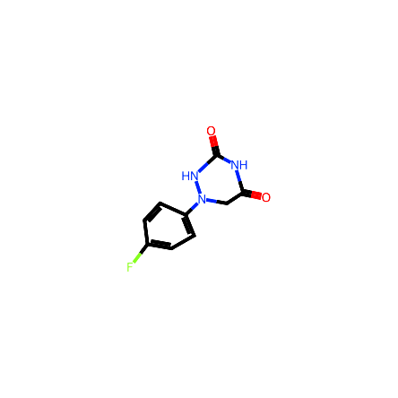 O=C1CN(c2ccc(F)cc2)NC(=O)N1